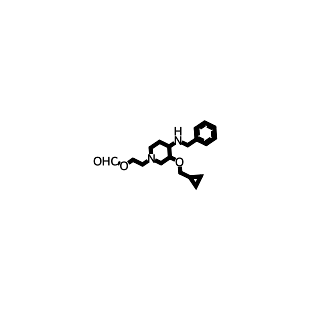 O=COCCN1CCC(NCc2ccccc2)C(OCC2CC2)C1